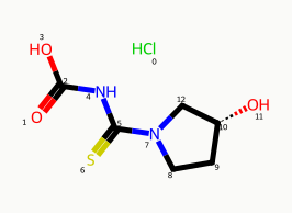 Cl.O=C(O)NC(=S)N1CC[C@@H](O)C1